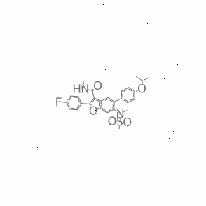 CNC(=O)c1c(-c2ccc(F)cc2)oc2cc(N(C)S(C)(=O)=O)c(-c3ccc(OC(C)C)cc3)cc12